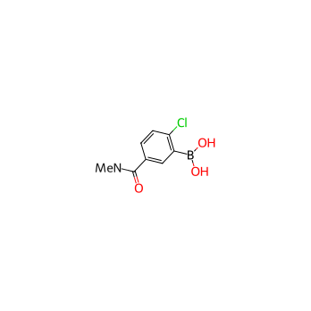 CNC(=O)c1ccc(Cl)c(B(O)O)c1